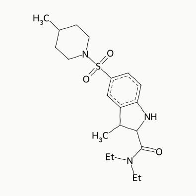 CCN(CC)C(=O)C1Nc2ccc(S(=O)(=O)N3CCC(C)CC3)cc2C1C